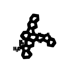 CC1(C)c2ccccc2-c2cc(-c3nc4c(nc3-n3c5ccccc5c5cc6ccccc6cc53)sc3ccccc34)ccc21